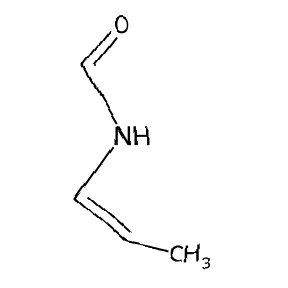 C/C=C\NC=O